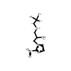 O=[N+]([O-])c1nccn1CC(O)COCC(F)(F)F